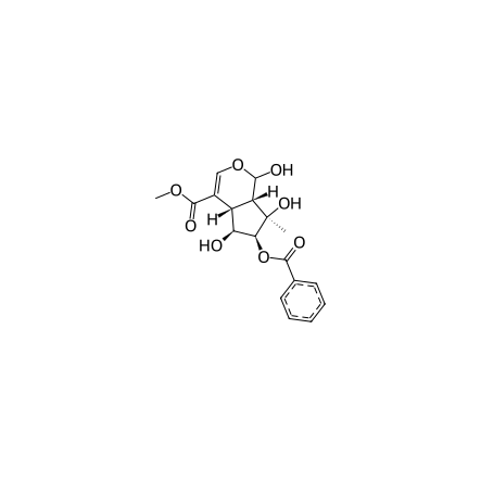 COC(=O)C1=COC(O)[C@H]2[C@@H]1[C@H](O)[C@H](OC(=O)c1ccccc1)[C@]2(C)O